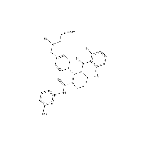 CCN(CCOC)CC1=CCC([C@H]2[C@@H](C(=O)Nc3cccc(C(C)(C)C)c3)CCCN2C(=O)c2c(C)cccc2F)C=C1